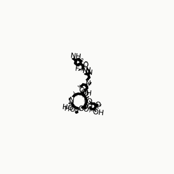 CC[C@H]1OC(=O)[C@H](C)[C@@H](O[C@H]2C[C@@](C)(OC)[C@@H](O)[C@H](C)O2)[C@H](C)[C@@H](O[C@H]2C[C@@H](N(C)CCc3cn([C@H](CF)[C@H](OC)c4ccc(CN)cc4)nn3)C[C@@H](C)O2)[C@](C)(O)C[C@@H](C)CN(C)[C@H](C)[C@@H](O)[C@]1(C)O